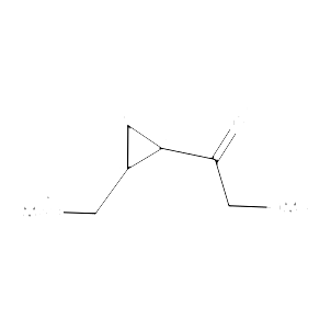 COCC(=O)C1CC1COC